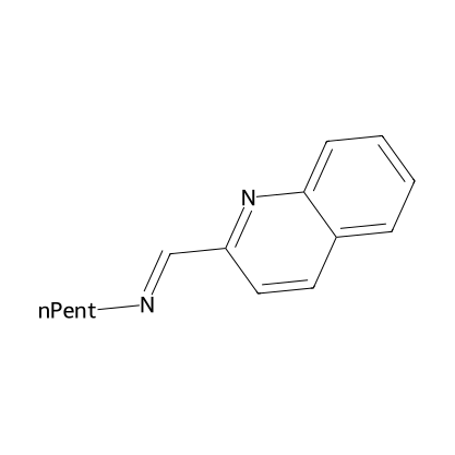 CCCCC/N=C/c1ccc2ccccc2n1